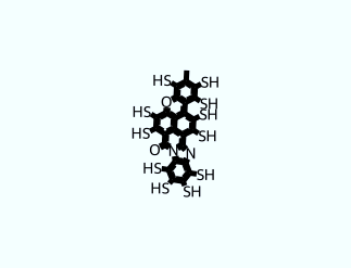 Cc1c(S)c(S)c2c(oc3c(S)c(S)c4c(=O)n5c(nc6c(S)c(S)c(S)c(S)c65)c5c(S)c(S)c2c3c45)c1S